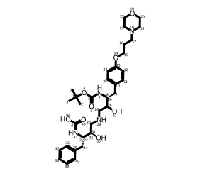 CC(C)(C)OC(=O)N[C@@H](Cc1ccc(OCCCN2CCOCC2)cc1)C(O)CNC[C@@H](O)[C@H](Cc1ccccc1)NC(=O)O